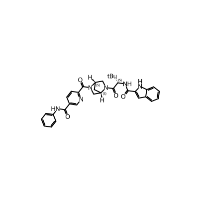 CC(C)(C)[C@H](NC(=O)c1cc2ccccc2[nH]1)C(=O)N1C[C@@H]2C[C@H]1CN2C(=O)c1ccc(C(=O)Nc2ccccc2)cn1